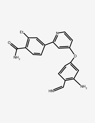 CCc1cc(-c2cc(Oc3ccc(C=N)c(N)c3)ccn2)ccc1C(N)=O